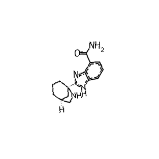 NC(=O)c1cccc2[nH]c([C@]34CCC[C@H](CN3)C4)nc12